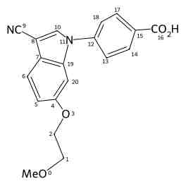 COCCOc1ccc2c(C#N)cn(-c3ccc(C(=O)O)cc3)c2c1